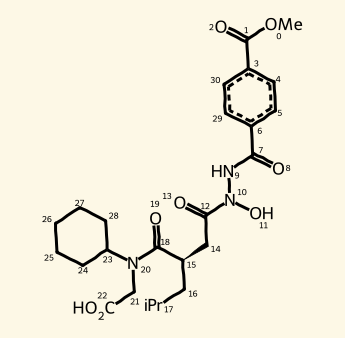 COC(=O)c1ccc(C(=O)NN(O)C(=O)C[C@@H](CC(C)C)C(=O)N(CC(=O)O)C2CCCCC2)cc1